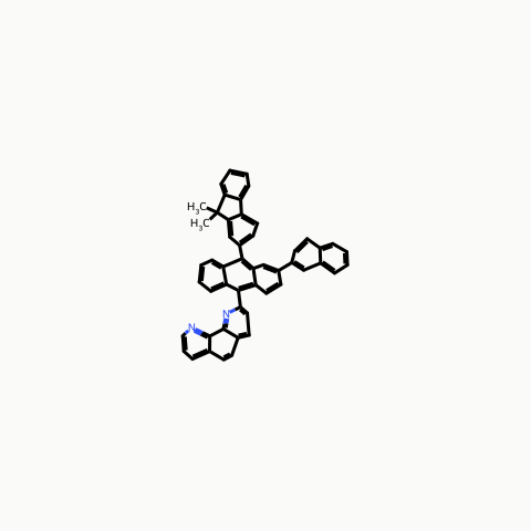 CC1(C)c2ccccc2-c2ccc(-c3c4ccccc4c(-c4ccc5ccc6cccnc6c5n4)c4ccc(-c5ccc6ccccc6c5)cc34)cc21